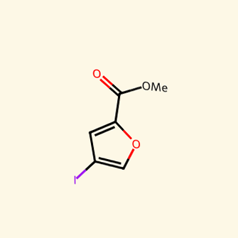 COC(=O)c1cc(I)co1